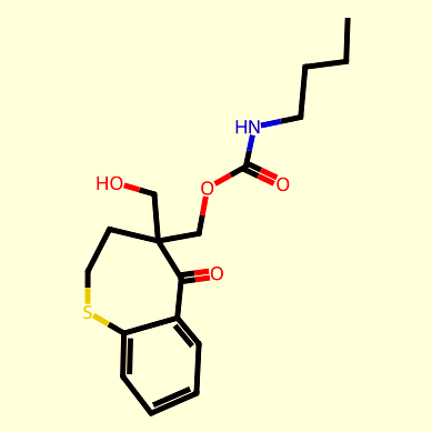 CCCCNC(=O)OCC1(CO)CCSc2ccccc2C1=O